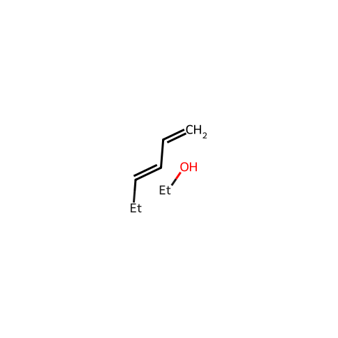 C=CC=CCC.CCO